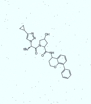 CC(C)(C)[C@H](C(=O)N1CC(O)CC1C(=O)NC1CCOc2c(-c3ccccc3)cccc21)n1cc(C2CC2)nn1